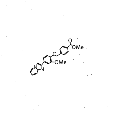 COC(=O)c1ccc(COc2ccc(-c3cn4ccccc4n3)cc2OC)cc1